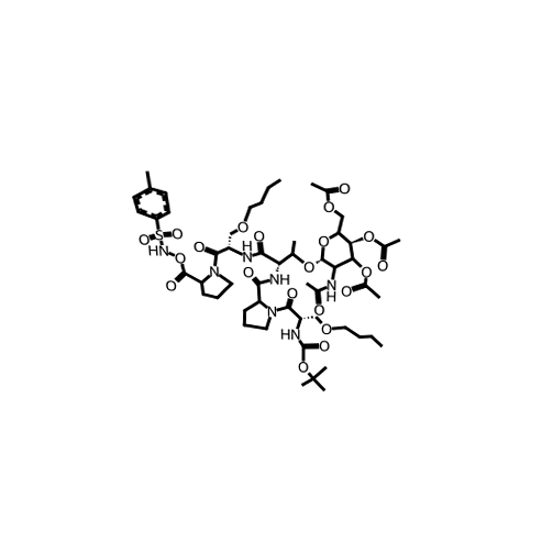 CCCCOC[C@H](NC(=O)OC(C)(C)C)C(=O)N1CCCC1C(=O)N[C@H](C(=O)N[C@@H](COCCCC)C(=O)N1CCCC1C(=O)ONS(=O)(=O)c1ccc(C)cc1)C(C)O[C@@H]1OC(COC(C)=O)[C@@H](OC(C)=O)C(OC(C)=O)C1NC(C)=O